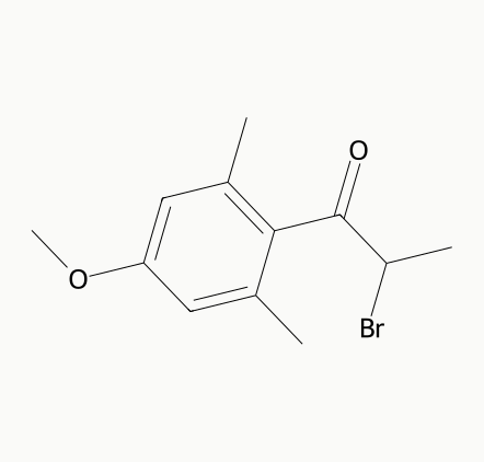 COc1cc(C)c(C(=O)C(C)Br)c(C)c1